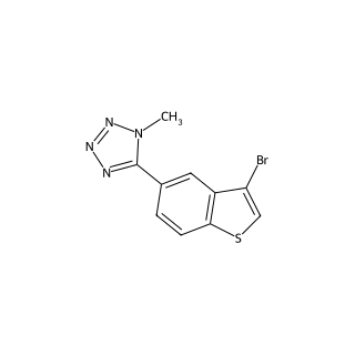 Cn1nnnc1-c1ccc2scc(Br)c2c1